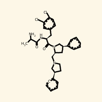 CC(N)C(=O)N[C@@H](Cc1ccc(Cl)c(Cl)c1)C(=O)N1C[C@@H](c2ccccc2)C[C@H]1CN1CC[C@@H](c2ccccc2)C1